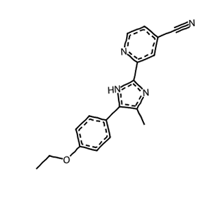 CCOc1ccc(-c2[nH]c(-c3cc(C#N)ccn3)nc2C)cc1